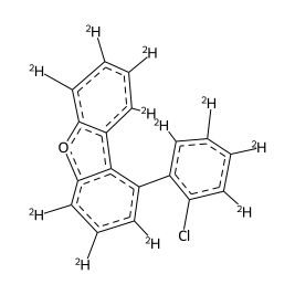 [2H]c1c([2H])c([2H])c(-c2c([2H])c([2H])c([2H])c3oc4c([2H])c([2H])c([2H])c([2H])c4c23)c(Cl)c1[2H]